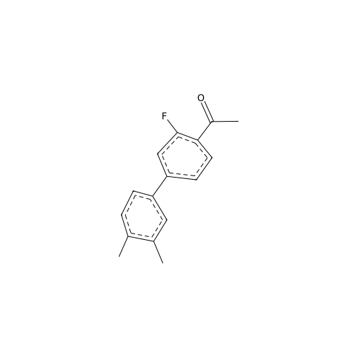 CC(=O)c1ccc(-c2ccc(C)c(C)c2)cc1F